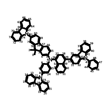 CC1(C)c2cc(N(c3ccc(-n4c5ccccc5c5ccccc54)cc3)c3ccc(-c4ccc5c(c4)c4ccccc4n5-c4ccccc4)c4ccccc34)ccc2-c2ccc(-n3c4ccccc4c4ccccc43)cc21